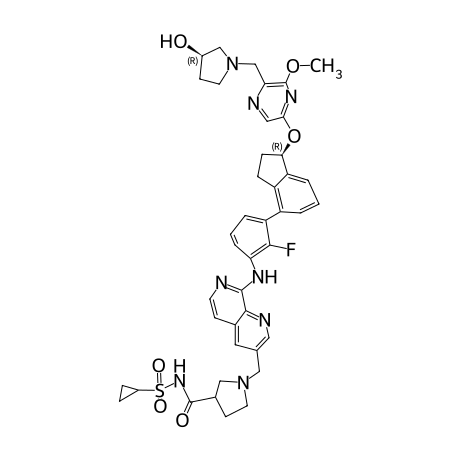 COc1nc(O[C@@H]2CCc3c(-c4cccc(Nc5nccc6cc(CN7CCC(C(=O)NS(=O)(=O)C8CC8)C7)cnc56)c4F)cccc32)cnc1CN1CC[C@@H](O)C1